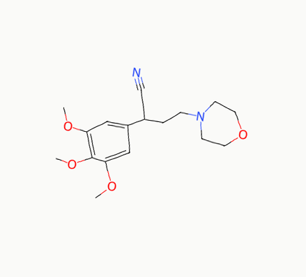 COc1cc(C(C#N)CCN2CCOCC2)cc(OC)c1OC